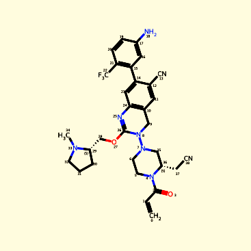 C=CC(=O)N1CCN(N2Cc3cc(C#N)c(-c4cc(N)ccc4C(F)(F)F)cc3N=C2OC[C@@H]2CCCN2C)C[C@@H]1CC#N